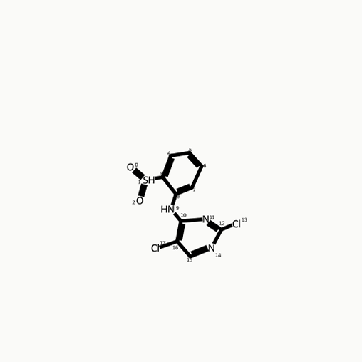 O=[SH](=O)c1ccccc1Nc1nc(Cl)ncc1Cl